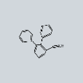 C#Cc1[c]ccc(-c2ccccc2)c1-c1ccccc1